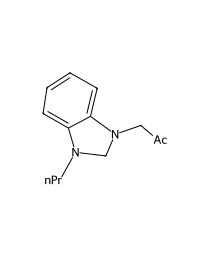 CCCN1CN(CC(C)=O)c2ccccc21